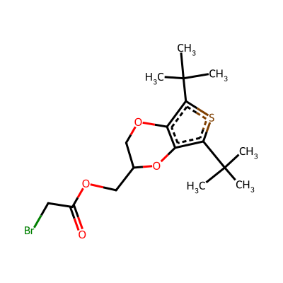 CC(C)(C)c1sc(C(C)(C)C)c2c1OCC(COC(=O)CBr)O2